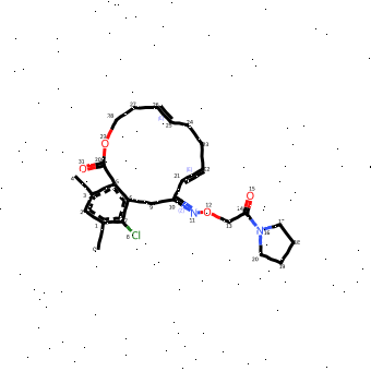 Cc1cc(C)c2c(c1Cl)CC(=N/OCC(=O)N1CCCC1)/C=C/CC/C=C/CCOC2=O